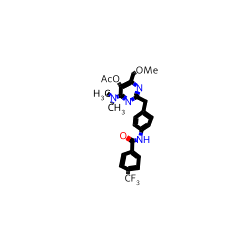 COCc1nc(Cc2ccc(NC(=O)c3ccc(C(F)(F)F)cc3)cc2)nc(N(C)C)c1OC(C)=O